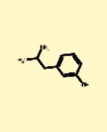 CC(N)Cc1cccc(O)c1